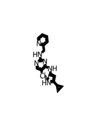 Clc1cnc(NCc2ccccn2)nc1Nc1cc(C2CC2)[nH]n1